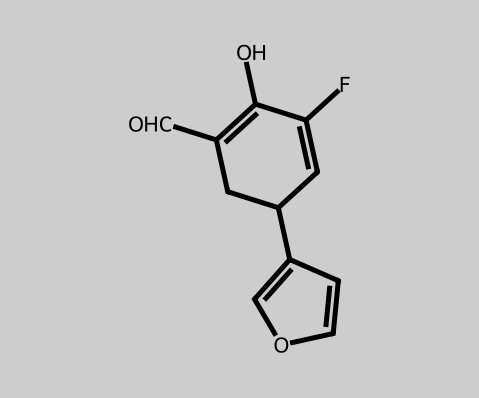 O=CC1=C(O)C(F)=CC(c2ccoc2)C1